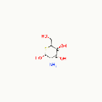 NC1C(O)SC(CO)[C@@H](O)[C@@H]1O